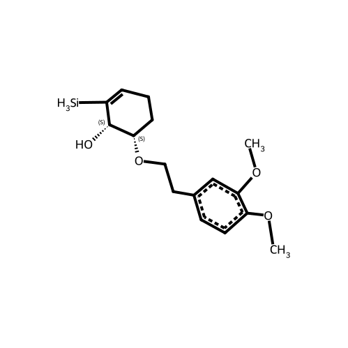 COc1ccc(CCO[C@H]2CCC=C([SiH3])[C@H]2O)cc1OC